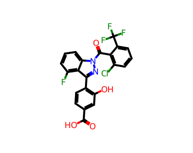 O=C(O)c1ccc(-c2nn(C(=O)c3c(Cl)cccc3C(F)(F)F)c3cccc(F)c23)c(O)c1